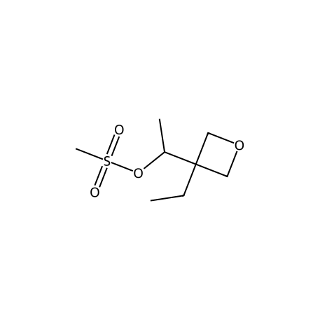 CCC1(C(C)OS(C)(=O)=O)COC1